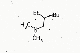 CCC(C)[C@H](CC)CN(C)C